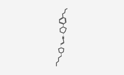 CCCCC[C@H]1CC[C@H](C=CC#C[C@H]2CC[C@H](c3ccc(CCCC)cc3)CC2)CC1